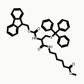 COC(=O)CCCCCNC(=O)C(CSC(c1ccccc1)(c1ccccc1)c1ccccc1)NC(=O)OCC1c2ccccc2-c2ccccc21